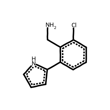 NCc1c(Cl)cccc1-c1ccc[nH]1